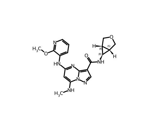 CNc1cc(Nc2cccnc2OC)nc2c(C(=O)N[C@H]3[C@@H]4COC[C@@H]43)cnn12